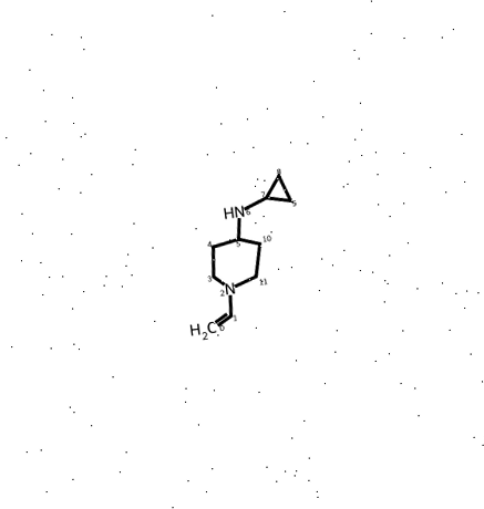 C=CN1CCC(NC2CC2)CC1